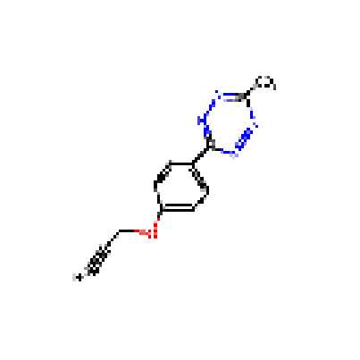 C#CCOc1ccc(-c2nnc(C(=O)O)nn2)cc1